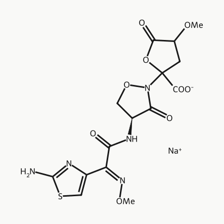 CON=C(C(=O)N[C@H]1CON(C2(C(=O)[O-])CC(OC)C(=O)O2)C1=O)c1csc(N)n1.[Na+]